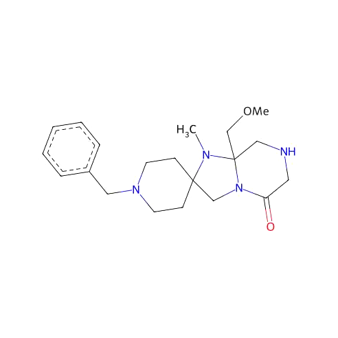 COCC12CNCC(=O)N1CC1(CCN(Cc3ccccc3)CC1)N2C